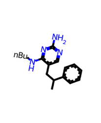 CCCCNc1nc(N)ncc1CC(C)c1ccccc1